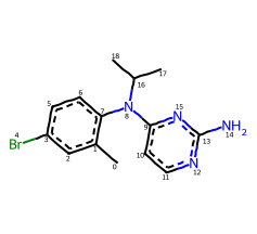 Cc1cc(Br)ccc1N(c1ccnc(N)n1)C(C)C